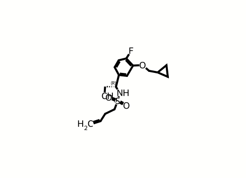 C=CCCS(=O)(=O)N[C@H](CC)c1ccc(F)c(OCC2CC2)c1